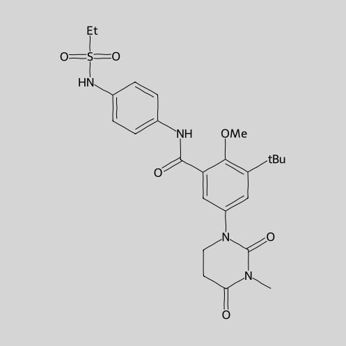 CCS(=O)(=O)Nc1ccc(NC(=O)c2cc(N3CCC(=O)N(C)C3=O)cc(C(C)(C)C)c2OC)cc1